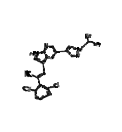 CCCC(CC)n1cc(-c2cnc3[nH]cc(/C=C(\C#N)c4c(Cl)cccc4Cl)c3c2)cn1